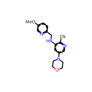 COc1ccc(CNc2cc(N3CCOCC3)cnc2C#N)nc1